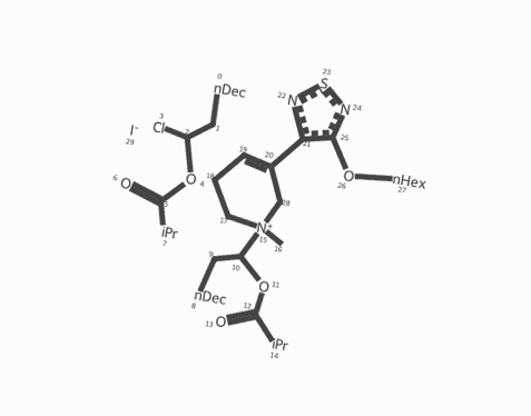 CCCCCCCCCCCC(Cl)OC(=O)C(C)C.CCCCCCCCCCCC(OC(=O)C(C)C)[N+]1(C)CCC=C(c2nsnc2OCCCCCC)C1.[I-]